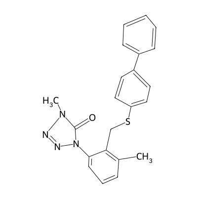 Cc1cccc(-n2nnn(C)c2=O)c1CSc1ccc(-c2ccccc2)cc1